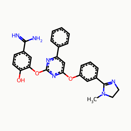 CN1CCN=C1c1cccc(Oc2cc(-c3ccccc3)nc(Oc3cc(C(=N)N)ccc3O)n2)c1